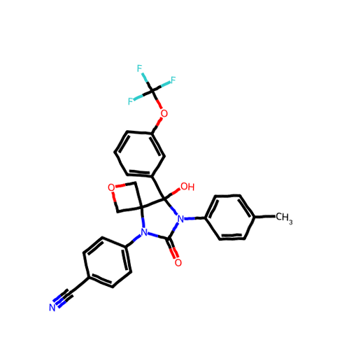 Cc1ccc(N2C(=O)N(c3ccc(C#N)cc3)C3(COC3)C2(O)c2cccc(OC(F)(F)F)c2)cc1